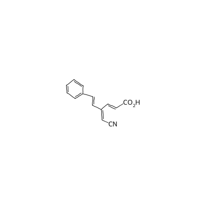 N#CC=C(C=CC(=O)O)C=Cc1ccccc1